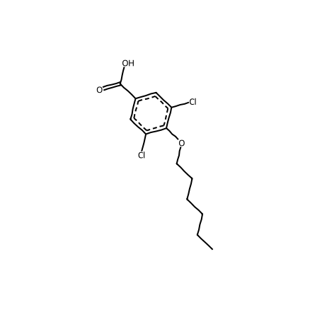 CCCCCCOc1c(Cl)cc(C(=O)O)cc1Cl